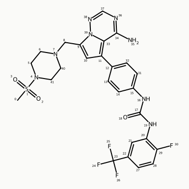 CS(=O)(=O)N1CCN(Cc2cc(-c3ccc(NC(=O)Nc4cc(C(F)(F)F)ccc4F)cc3)c3c(N)ncnn23)CC1